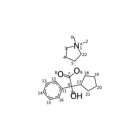 C[N+]1(C)CC[C@@H](OC(=O)C(O)(c2ccccc2)C2CCCC2)C1